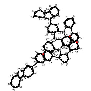 c1ccc(-c2ccccc2N2c3cc(-n4c5ccccc5c5ccccc54)ccc3B3c4ccc(-c5ccc(-c6ccc7c(c6)oc6ccccc67)cc5)cc4N(c4c(-c5ccccc5)cccc4-c4ccccc4)c4cccc2c43)cc1